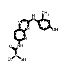 CCN(S)C(=O)Nc1ccc2ncc(Nc3ccc(O)cc3C)nc2n1